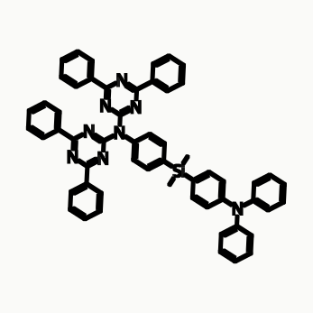 C[Si](C)(c1ccc(N(c2ccccc2)c2ccccc2)cc1)c1ccc(N(c2nc(-c3ccccc3)nc(-c3ccccc3)n2)c2nc(-c3ccccc3)nc(-c3ccccc3)n2)cc1